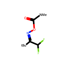 CNC(=O)ON=C(C(F)F)C(C)(C)C